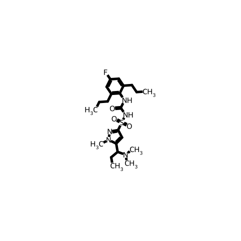 CCCc1cc(F)cc(CCC)c1NC(=O)NS(=O)(=O)c1cc(C(CC)N(C)C)n(C)n1